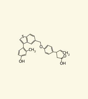 C=CC(CC(=O)O)c1ccc(OCc2ccc3scc(-c4ccc(O)cc4C)c3c2)cc1